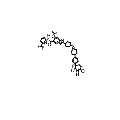 CC(C)Oc1cc2nc(C3CCC(CN4CCC(c5ccc(C6(F)CCC(=O)NC6=O)cc5)CC4)CC3)cn2cc1C(=O)Nc1cccc(C(F)F)n1